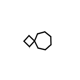 [CH]1CCC12CCCCCC2